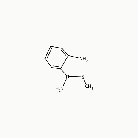 CSN(N)c1ccccc1N